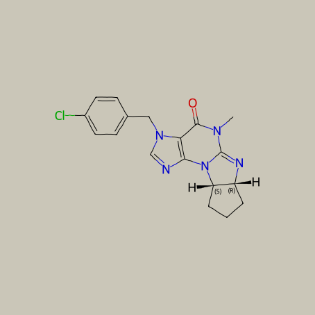 CN1C(=O)c2c(ncn2Cc2ccc(Cl)cc2)N2C1=N[C@@H]1CCC[C@@H]12